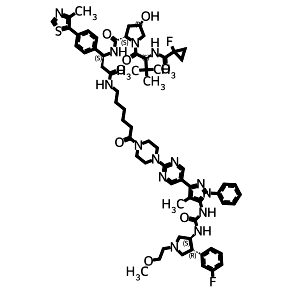 COCCN1C[C@@H](NC(=O)Nc2c(C)c(-c3cnc(N4CCN(C(=O)CCCCCNC(=O)C[C@H](NC(=O)[C@@H]5C[C@@H](O)CN5C(=O)[C@@H](NC(=O)C5(F)CC5)C(C)(C)C)c5ccc(-c6scnc6C)cc5)CC4)nc3)nn2-c2ccccc2)[C@H](c2cccc(F)c2)C1